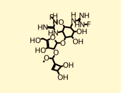 COC(OC1C(O)=C(CO)OC1OC1C(O)C(O)C(NC(=N)NF)C(O)C1NC(=N)NF)C1=CC(O)C1O